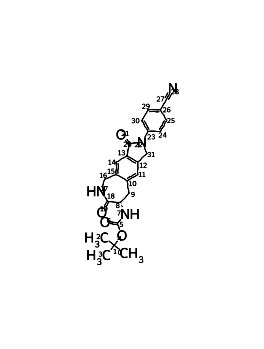 CC(C)(C)OC(=O)N[C@H]1Cc2cc3c(cc2CNC1=O)C(=O)N(c1ccc(C#N)cc1)C3